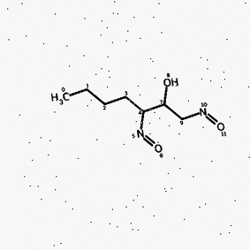 CCCCC(N=O)C(O)CN=O